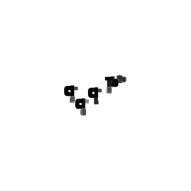 [Cl-].[Cl-].[Cl-].[Tb+3]